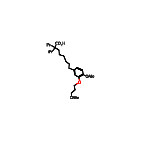 COCCCOc1cc(CCCCCCC(C(=O)O)(C(C)C)C(C)C)ccc1OC